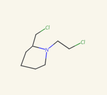 ClCCN1CCCCC1CCl